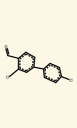 O=Cc1ccc(-c2ccc(Cl)cc2)cc1Cl